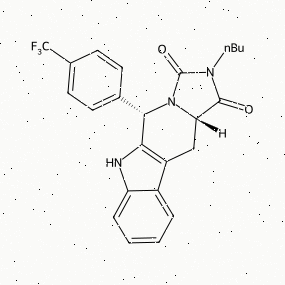 CCCCN1C(=O)[C@@H]2Cc3c([nH]c4ccccc34)[C@H](c3ccc(C(F)(F)F)cc3)N2C1=O